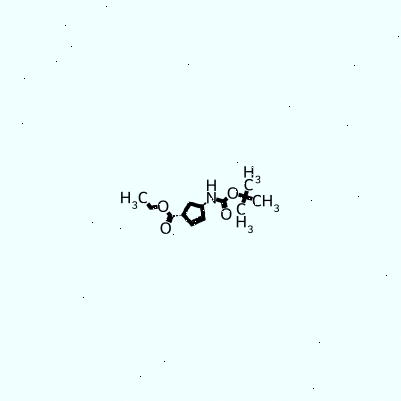 CCOC(=O)[C@H]1C=C[C@@H](NC(=O)OC(C)(C)C)C1